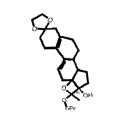 CCCOC1(C)OC23CC=C4C5=C(CCC4C2CC[C@]13O)CC1(CC5)OCCO1